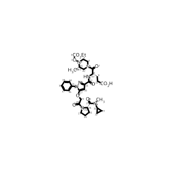 CCOC(=O)ON1CCN(C(=O)[C@H](CCC(=O)O)NC(=O)c2cc(OCC(=O)N3CCC[C@H]3C(=O)N(C)C3CC3)n(-c3ccccc3)n2)C[C@@H]1C